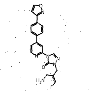 NC/C(=C\F)Cn1ncn(-c2cc(-c3ccc(-c4ccon4)cc3)ccn2)c1=O